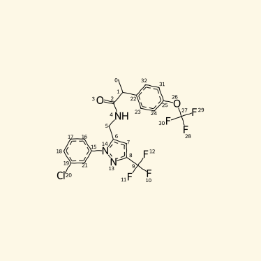 CC(C(=O)NCc1cc(C(F)(F)F)nn1-c1cccc(Cl)c1)c1ccc(OC(F)(F)F)cc1